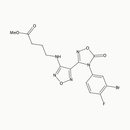 COC(=O)CCCNc1nonc1-c1noc(=O)n1-c1ccc(F)c(Br)c1